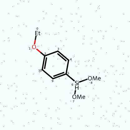 CCOc1ccc([SiH](OC)OC)cc1